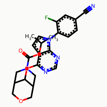 CC(C)OC(=O)N1CC2COCC(C1)C2Oc1ncnc2c1ccn2-c1ccc(C#N)cc1F